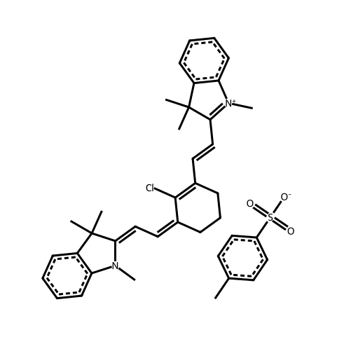 CN1C(=CC=C2CCCC(C=CC3=[N+](C)c4ccccc4C3(C)C)=C2Cl)C(C)(C)c2ccccc21.Cc1ccc(S(=O)(=O)[O-])cc1